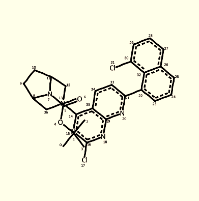 CC(C)(C)OC(=O)N1C2CCC1CN(c1nc(Cl)nc3nc(-c4cccc5cccc(Cl)c45)ccc13)C2